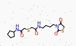 O=C(CSCC(=O)NC1CCCC1)NCCCCN1C(=O)CSC1=O